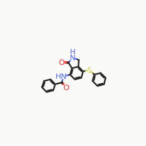 O=C(Nc1ccc(Sc2ccccc2)c2c1C(=O)NC2)c1ccccc1